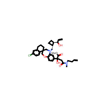 C=CCCN(C)C(=O)CC(O)(C(=O)OC)c1ccc2c(c1)N(C[C@@H]1CC[C@H]1C(O)C=C)CC1(CCCc3cc(Cl)ccc31)CO2